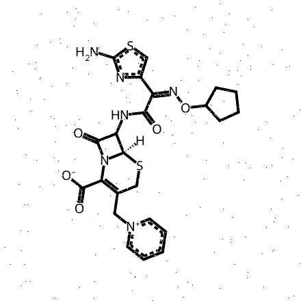 Nc1nc(/C(=N/OC2CCCC2)C(=O)NC2C(=O)N3C(C(=O)[O-])=C(C[n+]4ccccc4)CS[C@H]23)cs1